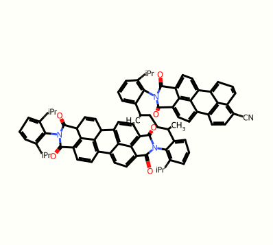 CC(C)c1cccc(C(C)C)c1N1C(=O)c2ccc3c4c2C(C=CC4c2ccc4c5c(ccc-3c25)C(=O)N(c2c(C(C)C)cccc2C(C)CCC(C)c2cccc(C(C)C)c2N2C(=O)c3ccc5c6cccc7c(C#N)ccc(c8ccc(c3c58)C2=O)c76)C4=O)C1=O